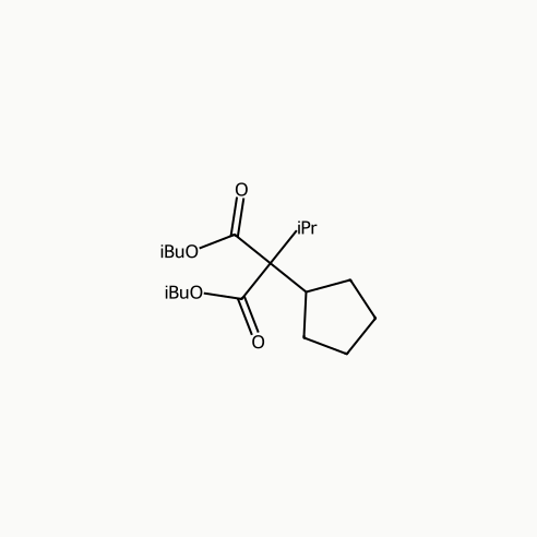 CC(C)COC(=O)C(C(=O)OCC(C)C)(C(C)C)C1CCCC1